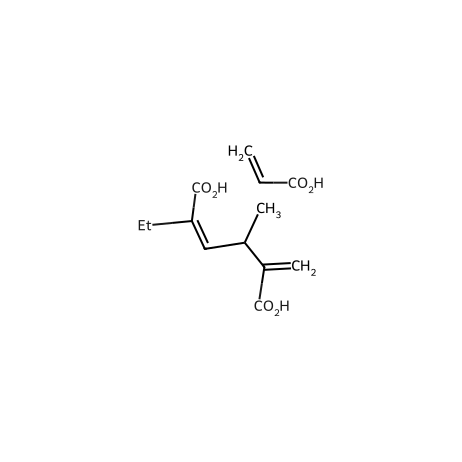 C=C(C(=O)O)C(C)C=C(CC)C(=O)O.C=CC(=O)O